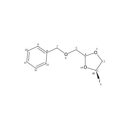 I[C@@H]1COC(COCc2ccccc2)O1